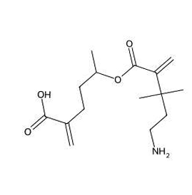 C=C(CCC(C)OC(=O)C(=C)C(C)(C)CCN)C(=O)O